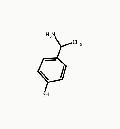 CC(N)c1ccc(S)cc1